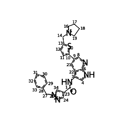 O=C(Nc1c[nH]c2ncc(-c3ccc(CN4CCCC4)s3)cc12)c1cnn(Cc2ccccc2)c1